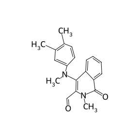 Cc1ccc(N(C)c2c(C=O)n(C)c(=O)c3ccccc23)cc1C